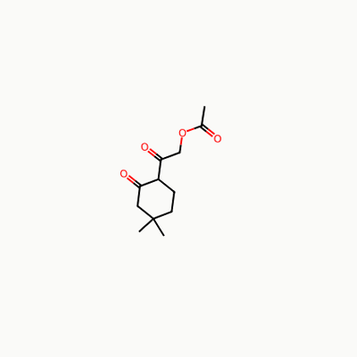 CC(=O)OCC(=O)C1CCC(C)(C)CC1=O